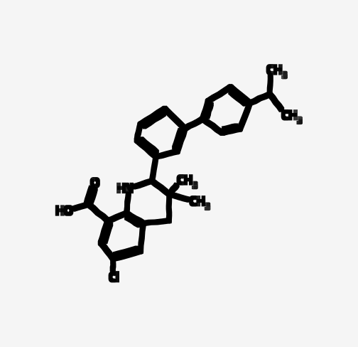 CC(C)c1ccc(-c2cccc(C3Nc4c(cc(Cl)cc4C(=O)O)CC3(C)C)c2)cc1